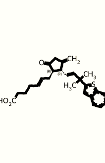 C=C1CC(=O)[C@H](CC=CCCCC(=O)O)[C@H]1C=CC(C)(C)c1cc2ccccc2s1